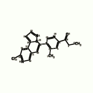 CCC(=O)c1cc(C)c(-c2cc3cnc(Cl)cc3c3ccnn23)cn1